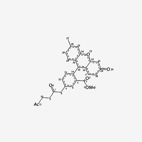 COC(=O)c1cc(CC(=O)CCC(C)=O)ccc1-c1c2ccc(=O)cc-2oc2cc(C)ccc12